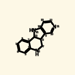 c1ccc2c(c1)NCC1c3cnccc3NC21